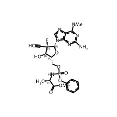 C#C[C@@]1(F)[C@H](O)[C@@H](COP(=O)(N[C@H](C)C(=O)OC)Oc2ccccc2)O[C@H]1n1cnc2c(NC)nc(N)nc21